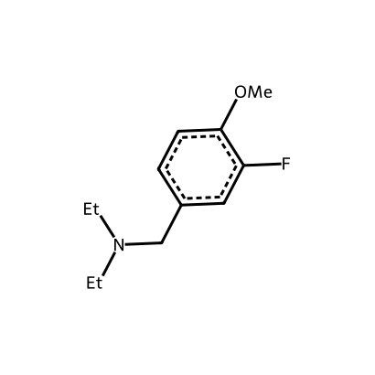 CCN(CC)Cc1ccc(OC)c(F)c1